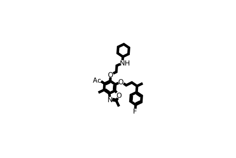 CC(=O)c1c(OCCNC2CCCCC2)c(OCCC(C)c2ccc(F)cc2)c2oc(C)nc2c1C